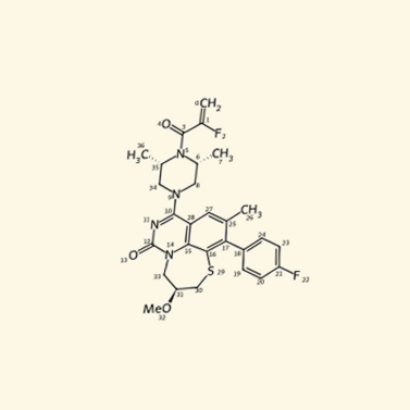 C=C(F)C(=O)N1[C@H](C)CN(c2nc(=O)n3c4c(c(-c5ccc(F)cc5)c(C)cc24)SC[C@@H](OC)C3)C[C@@H]1C